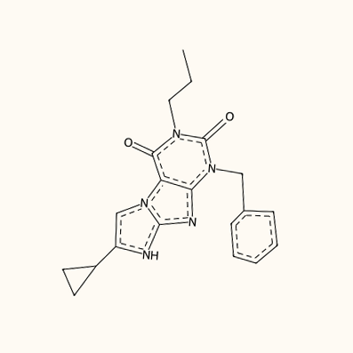 CCCn1c(=O)c2c(nc3[nH]c(C4CC4)cn32)n(Cc2ccccc2)c1=O